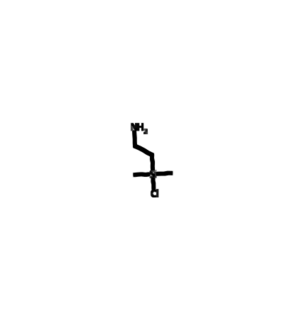 C[Si](C)(Cl)CCN